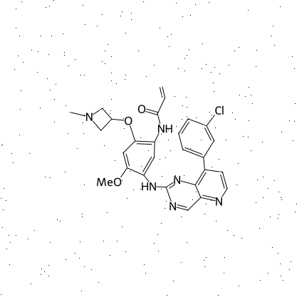 C=CC(=O)Nc1cc(Nc2ncc3nccc(-c4cccc(Cl)c4)c3n2)c(OC)cc1OC1CN(C)C1